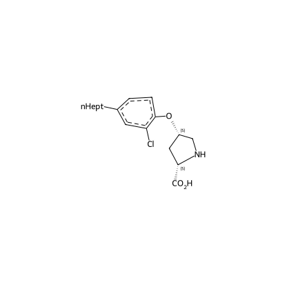 CCCCCCCc1ccc(O[C@@H]2CN[C@H](C(=O)O)C2)c(Cl)c1